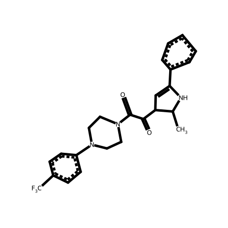 CC1NC(c2ccccc2)=CC1C(=O)C(=O)N1CCN(c2ccc(C(F)(F)F)cc2)CC1